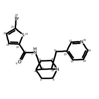 O=C(NC1C2CCN(CC2)C1Cc1cccnc1)c1ccc(Br)s1